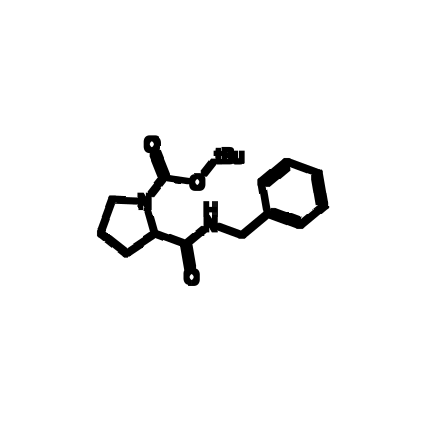 CC(C)(C)OC(=O)N1CCCC1C(=O)NCc1ccccc1